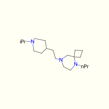 CCCN1CCN(CCC2CCN(C(C)C)CC2)CC12CCC2